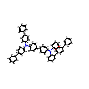 c1ccc(-c2ccc(-c3ccccc3N(c3ccccc3)c3ccc(-c4ccc(N(c5ccc(-c6ccccc6)cc5)c5ccc(-c6ccccc6)cc5)cc4)cc3)cc2)cc1